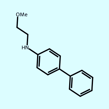 COCCNc1ccc(-c2ccccc2)cc1